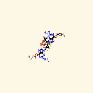 CCOc1nc(N)nc2c1ncn2CC1(OP(C)(=O)OC2(Cn3cnc4c(OCC)nc(N)nc43)CC2)CC1